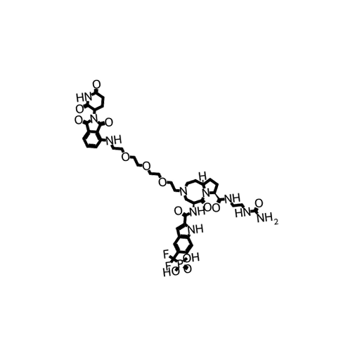 NC(=O)NCCNC(=O)[C@@H]1CC[C@@H]2CCN(CCOCCOCCOCCNc3cccc4c3C(=O)N(C3CCC(=O)NC3=O)C4=O)C[C@H](NC(=O)c3cc4cc(C(F)(F)P(=O)(O)O)ccc4[nH]3)C(=O)N21